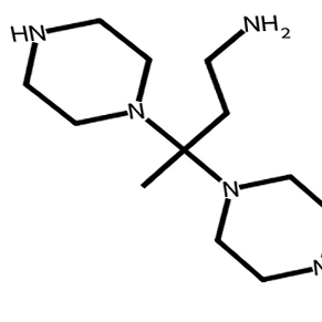 CC(CCN)(N1CCNCC1)N1CCNCC1